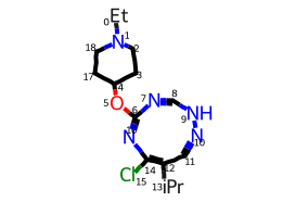 CCN1CCC(Oc2nc[nH]ncc(C(C)C)c(Cl)n2)CC1